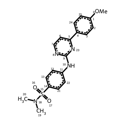 COc1ccc(-c2ccnc(Nc3ccc(S(=O)(=O)N(C)C)cc3)n2)cc1